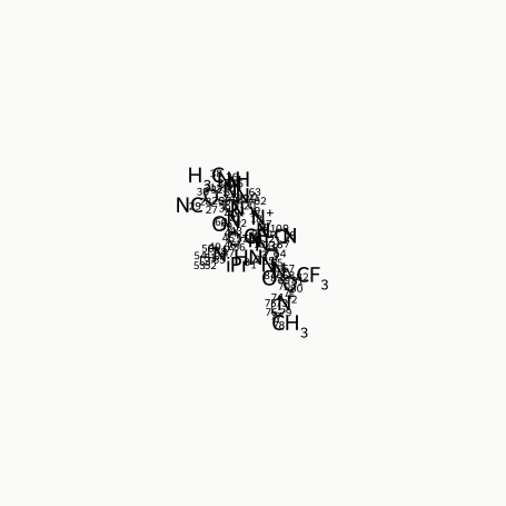 CC(C)CNc1cc(-c2cnccc2-c2nncn2C[N+]#CCC2(Nc3cc(-c4cc(C#N)ccc4-c4nncn4C)cc(N4Cc5c(cc(CN6CCC7(CCC7)C6)cc5C(F)(F)F)C4=O)n3)CC2)cc(N2Cc3c(cc(CN4CCC[C@H](C)C4)cc3C(F)(F)F)C2=O)n1